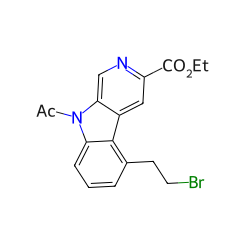 CCOC(=O)c1cc2c3c(CCBr)cccc3n(C(C)=O)c2cn1